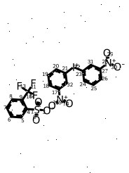 O=S(=O)([O-])c1ccccc1C(F)(F)F.O=[N+]([O-])c1cccc([I+]c2cccc([N+](=O)[O-])c2)c1